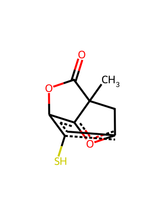 CC12Cc3oc1c(c3S)OC2=O